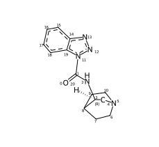 O=C(N[C@H]1CN2CCC1CC2)n1nnc2ccccc21